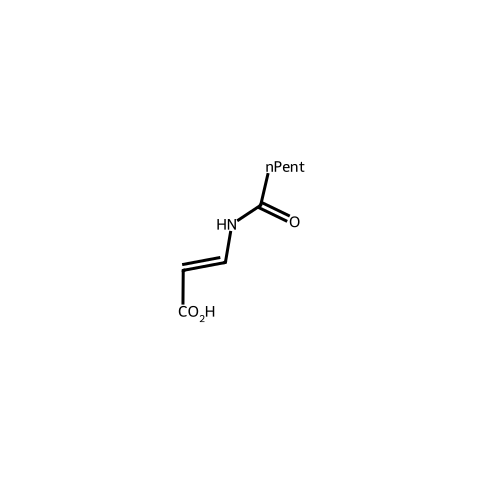 CCCCCC(=O)NC=CC(=O)O